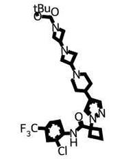 CC(C)(C)OC(=O)N1CC(N2CC(N3CCC(c4cnn(C5(C(=O)Nc6ccc(C(F)(F)F)cc6Cl)CCC5)c4)CC3)C2)C1